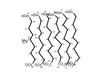 CCCCCCCCCCCCCCCCCC(=O)O.CCCCCCCCCCCCCCCCCC(=O)O.CCCCCCCCCCCCCCCCCC(=O)O.CCCCCCCCCCCCCCCCCC(=O)O.CCCCCCCCCCCCCCCCCC(=O)[O-].CCCCCCCCCCCCCCCCCC(=O)[O-].[Mg+2]